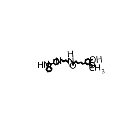 COc1cc(C=CC=CC(=O)NCCCCN2CCC(c3c[nH]c4ccccc34)CC2)ccc1O